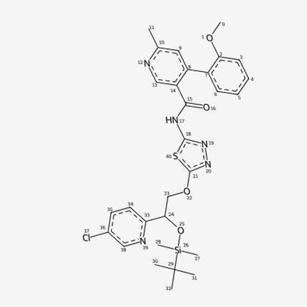 COc1ccccc1-c1cc(C)ncc1C(=O)Nc1nnc(OCC(O[Si](C)(C)C(C)(C)C)c2ccc(Cl)cn2)s1